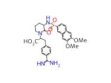 COc1cc2ccc(S(=O)(=O)NC3CCCN(C(Cc4ccc(C(=N)N)cc4)C(=O)O)C3=O)cc2cc1OC